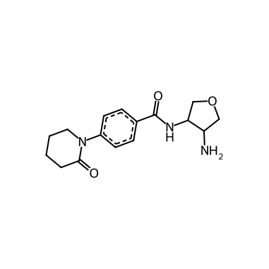 NC1COCC1NC(=O)c1ccc(N2CCCCC2=O)cc1